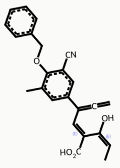 C=C=C(/C=C(C(=O)O)\C(O)=C/C)c1cc(C)c(OCc2ccccc2)c(C#N)c1